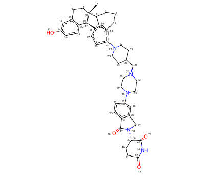 C[C@]1(C2CCCCC2)CCc2cc(O)ccc2[C@@H]1c1ccc(N2CCC(CN3CCN(c4ccc5c(c4)CN([C@H]4CCC(=O)NC4=O)C5=O)CC3)CC2)cc1